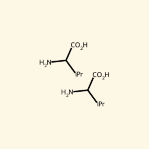 CC(C)C(N)C(=O)O.CC(C)C(N)C(=O)O